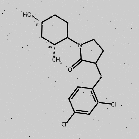 C[C@@H]1C[C@H](O)CCC1N1CCC(Cc2ccc(Cl)cc2Cl)C1=O